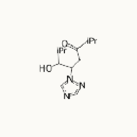 CC(C)C(=O)CC(C(O)C(C)C)n1cncn1